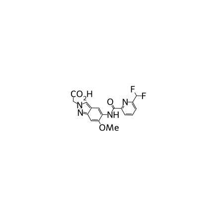 COc1cc2nn(CC(=O)O)cc2cc1NC(=O)c1cccc(C(F)F)n1